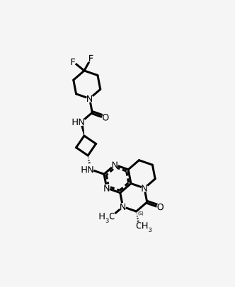 C[C@H]1C(=O)N2CCCc3nc(N[C@H]4C[C@H](NC(=O)N5CCC(F)(F)CC5)C4)nc(c32)N1C